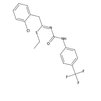 CCSC(Cc1ccccc1Cl)=NC(=O)Nc1ccc(C(F)(F)F)cc1